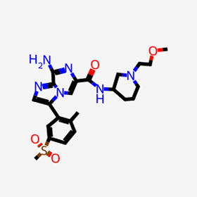 COCCN1CCCC(NC(=O)c2cn3c(-c4cc(S(C)(=O)=O)ccc4C)cnc3c(N)n2)C1